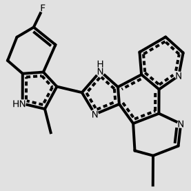 Cc1[nH]c2c(c1-c1nc3c4c(c5ncccc5c3[nH]1)N=CC(C)C4)C=C(F)CC2